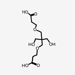 O=C(O)CCOCC(CO)(CO)COCCC(=O)O